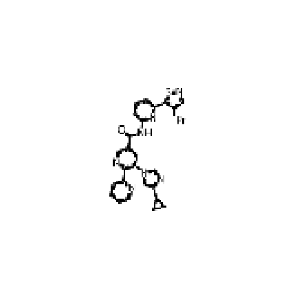 CC(C)c1cnsc1-c1cccc(NC(=O)c2cnc(-c3ccccn3)c(-n3cnc(C4CC4)c3)c2)n1